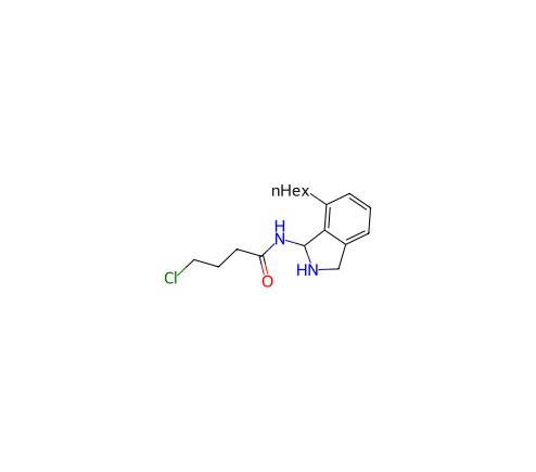 CCCCCCc1cccc2c1C(NC(=O)CCCCl)NC2